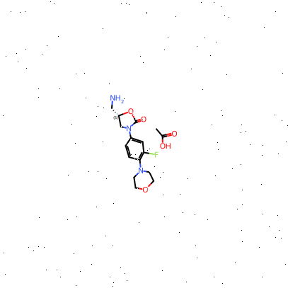 CC(=O)O.NC[C@H]1CN(c2ccc(N3CCOCC3)c(F)c2)C(=O)O1